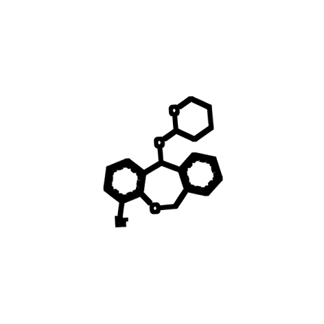 Brc1cccc2c1OCc1ccccc1C2OC1CCCCO1